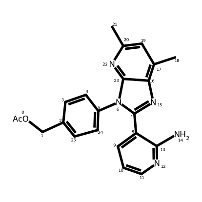 CC(=O)OCc1ccc(-n2c(-c3cccnc3N)nc3c(C)cc(C)nc32)cc1